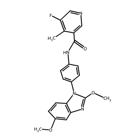 COc1ccc2c(c1)nc(OC)n2-c1ccc(NC(=O)c2cncc(F)c2C)cc1